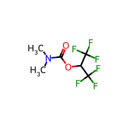 CN(C)C(=O)OC(C(F)(F)F)C(F)(F)F